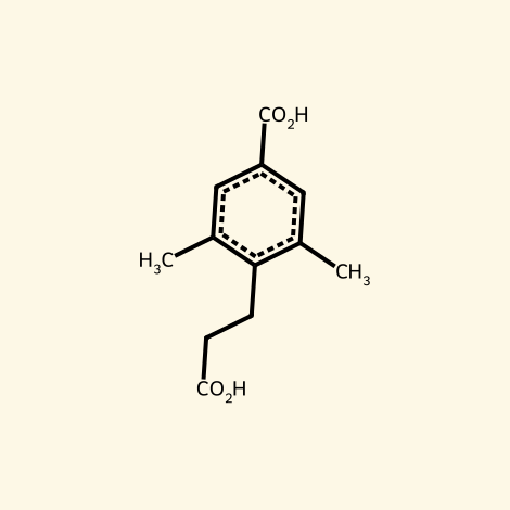 Cc1cc(C(=O)O)cc(C)c1CCC(=O)O